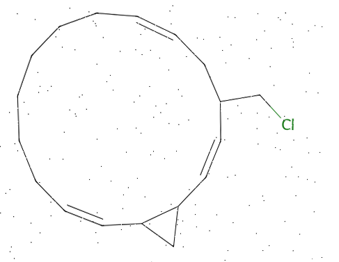 ClCC1/C=C\C2CC2/C=C\CCCCCC/C=C\C1